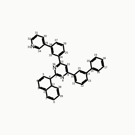 C1=CC2=CC=CC(c3nc(-c4cccc(-c5ccccc5)c4)cc(-c4cccc(-c5cccnc5)c4)n3)C2C=C1